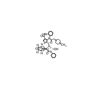 CN1[C@@H]2C[C@@H](OC(=O)[C@H](CO)c3ccccc3)C[C@H]1[C@@H]1O[C@@H]12.Cc1scc2c1N(C(=O)CN1CCN(C)CC1)c1ccccc1NC2=O